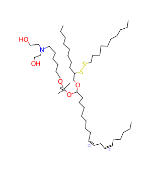 CCCCC/C=C\C/C=C\CCCCCCCC(OCC(CCCCCCCC)SSCCCCCCCCCC)O[Si](C)(C)OCCCCCCN(CCO)CCO